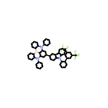 FC(F)(F)c1cc(-c2ccccc2-n2c3ccccc3c3cc(-c4cc5c6c(c4)N(c4ccccc4)c4ccccc4B6c4ccccc4N5c4ccccc4)ccc32)cc(C(F)(F)F)c1